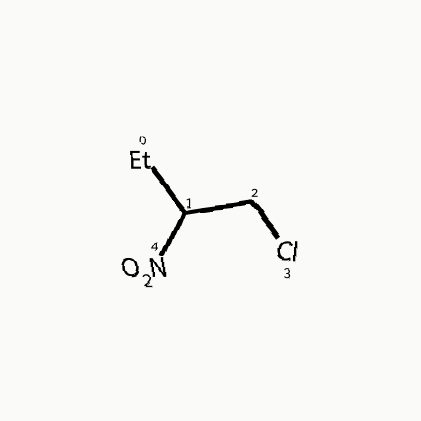 CCC(CCl)[N+](=O)[O-]